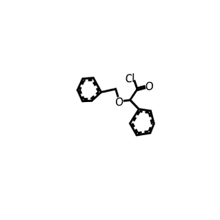 O=C(Cl)C(OCc1ccccc1)c1ccccc1